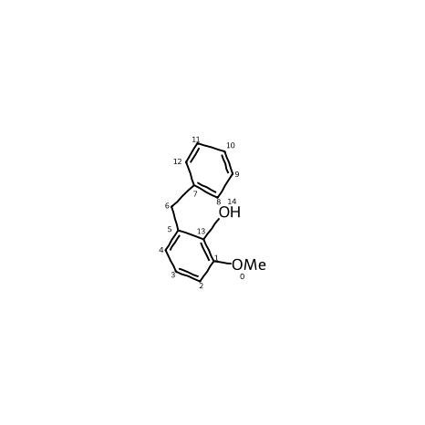 COc1cccc(Cc2ccccc2)c1O